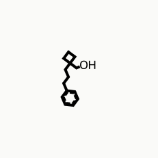 OCC1(CCCc2ccccc2)CCC1